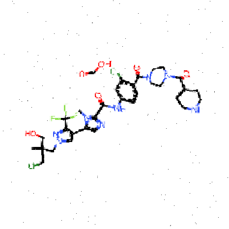 Cn1c(-c2cn(CC(C)(CO)CCl)nc2C(F)(F)F)cnc1C(=O)Nc1ccc(C(=O)N2CCN(C(=O)C3CCNCC3)CC2)c(Cl)c1.O=CO